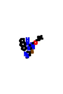 Cn1cc(Sc2nc(Nc3c4c(cc5c3CCC5)CCC4)n(COCC[Si](C)(C)C)n2)cn1